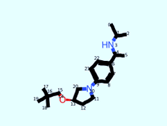 CC(C)NC(C)c1ccc(N2CC[C@@H](OCC(C)(C)C)C2)cc1